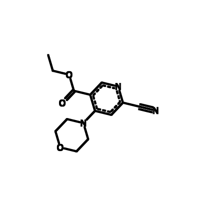 CCOC(=O)c1cnc(C#N)cc1N1CCOCC1